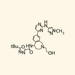 Cn1cc(Nc2nccc(-c3ccc4c(c3)CN(CCO)CC[C@H]4NC(=O)c3nnc(C(C)(C)C)o3)n2)cn1